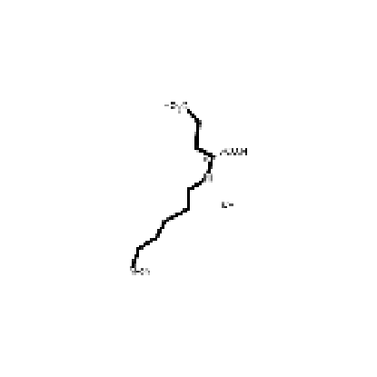 CCCCCCCCCCCCCCN[C@H](CCC(=O)O)C(=O)O.[KH]